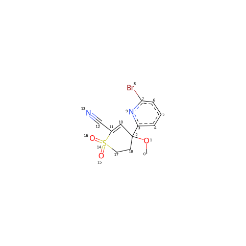 COC1(c2cccc(Br)n2)C=C(C#N)S(=O)(=O)CC1